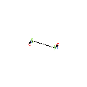 O=C=NC(F)(F)CCCCCCCCCCCCCCCCCCC(F)(F)N=C=O